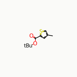 Cc1csc(C(=O)OC(C)(C)C)c1